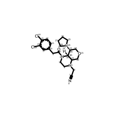 N#CCN1CCN(C(=O)Cc2ccc(Cl)c(Cl)c2)[C@H]2C1COC[C@@H]2N1CCCC1